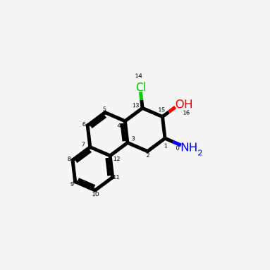 NC1Cc2c(ccc3ccccc23)C(Cl)C1O